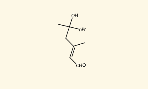 CCCC(C)(O)C/C(C)=C/C=O